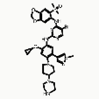 Cn1cc(-c2cc(Nc3ncc(Br)c(Nc4cc5c(cc4P(C)(C)=O)OCO5)n3)c(OC3CC3)cc2N2CCC(N3CCNCC3)CC2)cn1